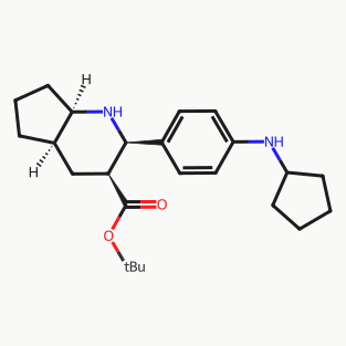 CC(C)(C)OC(=O)[C@H]1C[C@H]2CCC[C@H]2N[C@H]1c1ccc(NC2CCCC2)cc1